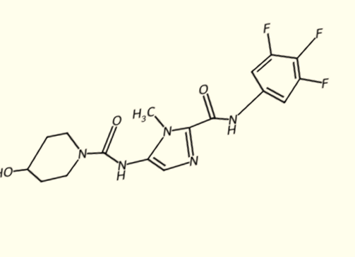 Cn1c(NC(=O)N2CCC(O)CC2)cnc1C(=O)Nc1cc(F)c(F)c(F)c1